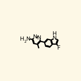 Cc1cc(N)nnc1-c1ccc2c(F)c[nH]c2c1